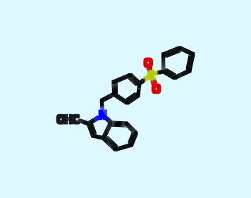 O=Cc1cc2ccccc2n1Cc1ccc(S(=O)(=O)c2ccccc2)cc1